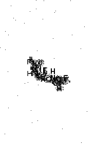 O=C(Nc1ccc(CN(Cc2ccc(NC(=O)[C@@H]3CCCN3C(=O)C(c3ccccc3)N3CCC(F)(F)CC3)cc2)c2ccc(F)cc2)cc1)[C@@H]1CCCN1C(=O)C(c1ccccc1)N1CCC(F)(F)CC1